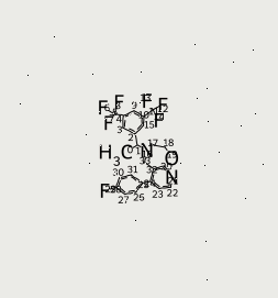 CC(c1cc(C(F)(F)F)cc(C(F)(F)F)c1)N1CCOc2nccc(-c3ccc(F)cc3)c2C1